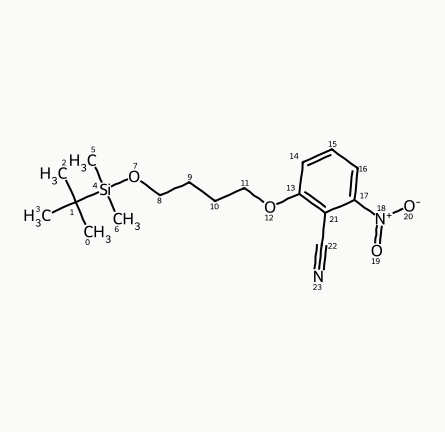 CC(C)(C)[Si](C)(C)OCCCCOc1cccc([N+](=O)[O-])c1C#N